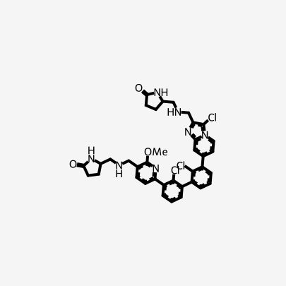 COc1nc(-c2cccc(-c3cccc(-c4ccn5c(Cl)c(CNCC6CCC(=O)N6)nc5c4)c3Cl)c2Cl)ccc1CNCC1CCC(=O)N1